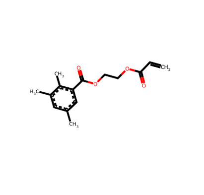 C=CC(=O)OCCOC(=O)c1cc(C)cc(C)c1C